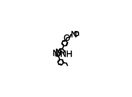 CCc1cccc(-c2cnn3c2NCC(c2ccc(OCCN4CCCC4)cc2)=C3)c1